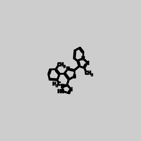 Cc1cccc(C)c1-c1nc(-c2c(C)nn3ccccc23)sc1-c1nc[nH]n1